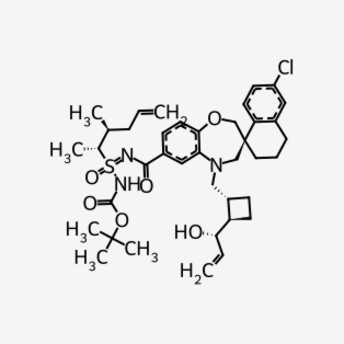 C=CC[C@H](C)[C@@H](C)S(=O)(=NC(=O)c1ccc2c(c1)N(C[C@@H]1CC[C@H]1[C@@H](O)C=C)C[C@@]1(CCCc3cc(Cl)ccc31)CO2)NC(=O)OC(C)(C)C